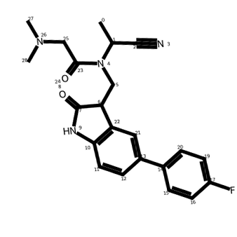 CC(C#N)N(CC1C(=O)Nc2ccc(-c3ccc(F)cc3)cc21)C(=O)CN(C)C